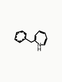 C1=CC=C(Cc2ccccc2)NC=C1